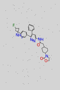 NC1(c2ccc(-c3nnc(NC(=O)CC4CCC(N5CCOC5=O)CC4)cc3-c3ccccc3)cc2)CC(F)C1